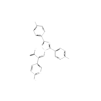 COc1ccc(C(=Cn2nc(-c3ccc(C(F)(F)F)cc3)nc2-c2ccc(C(F)(F)F)cc2)C(N)=O)cn1